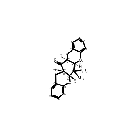 CC1(C)[C@@H]2Oc3ccccc3C[C@@H]2C(=O)[C@H]2Cc3ccccc3O[C@H]21